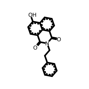 O=C1c2cccc3c(O)ccc(c23)C(=O)N1CCc1ccccc1